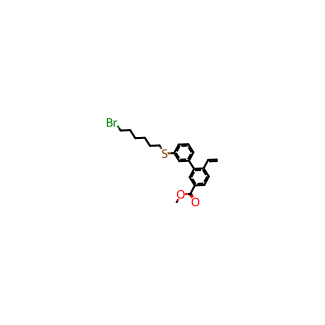 C=Cc1ccc(C(=O)OC)cc1-c1cccc(SCCCCCCBr)c1